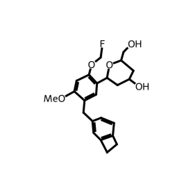 COc1cc(OCF)c(C2CC(O)CC(CO)O2)cc1Cc1ccc2c(c1)CC2